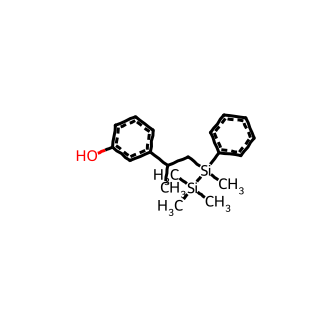 CC(C[Si](C)(c1ccccc1)[Si](C)(C)C)c1cccc(O)c1